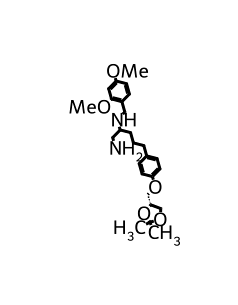 COc1ccc(CNC(CN)CCCc2ccc(OC[C@@H]3COC(C)(C)O3)cc2)c(OC)c1